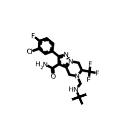 CC(C)(C)NCN1Cc2c(C(N)=O)c(-c3ccc(F)c(Cl)c3)nn2CC1C(F)(F)F